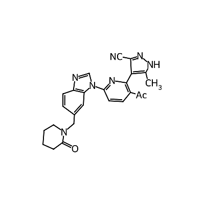 CC(=O)c1ccc(-n2cnc3ccc(CN4CCCCC4=O)cc32)nc1-c1c(C#N)n[nH]c1C